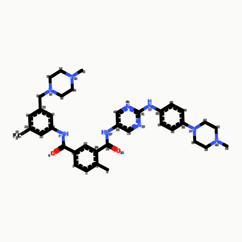 Cc1ccc(C(=O)Nc2cc(CN3CCN(C)CC3)cc(C(F)(F)F)c2)cc1C(=O)Nc1cnc(Nc2ccc(N3CCN(C)CC3)cc2)nc1